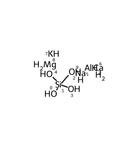 O[Si](O)(O)O.[AlH3].[CaH2].[KH].[MgH2].[NaH]